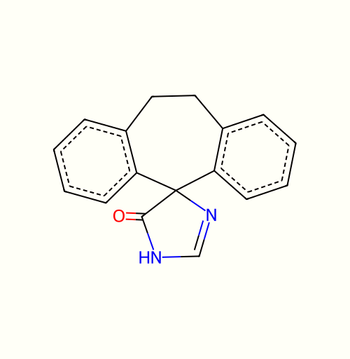 O=C1NC=NC12c1ccccc1CCc1ccccc12